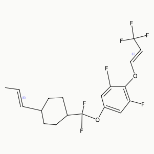 C/C=C/C1CCC(C(F)(F)Oc2cc(F)c(O/C=C/C(F)(F)F)c(F)c2)CC1